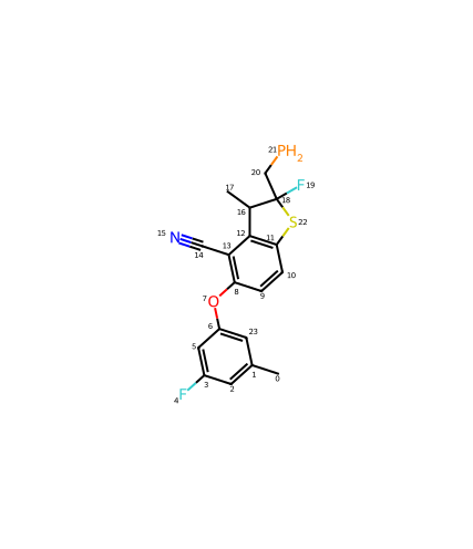 Cc1cc(F)cc(Oc2ccc3c(c2C#N)C(C)C(F)(CP)S3)c1